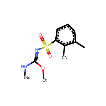 CCO/C(=N\S(=O)(=O)c1cccc(C)c1C#N)NC(C)(C)C